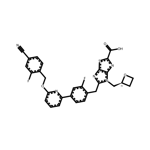 N#Cc1ccc(COc2cccc(-c3ccc(Cc4nc5sc(C(=O)O)nc5n4C[C@@H]4CCO4)c(F)c3)n2)c(F)c1